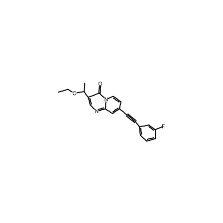 CCOC(C)c1cnc2cc(C#Cc3cccc(F)c3)ccn2c1=O